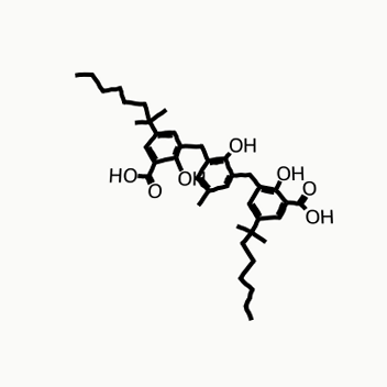 CCCCCCC(C)(C)c1cc(Cc2cc(C)cc(Cc3cc(C(C)(C)CCCCCC)cc(C(=O)O)c3O)c2O)c(O)c(C(=O)O)c1